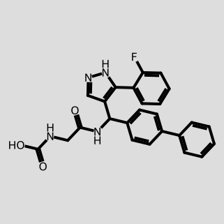 O=C(O)NCC(=O)NC(c1ccc(-c2ccccc2)cc1)c1cn[nH]c1-c1ccccc1F